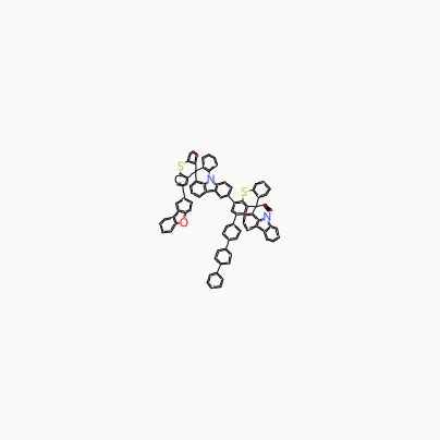 c1ccc(-c2ccc(-c3ccc(-c4cc(-c5ccc6c(c5)c5cccc7c5n6-c5ccccc5C75c6ccccc6Sc6ccc(-c7ccc8oc9ccccc9c8c7)cc65)c5c(c4)C4(c6ccccc6S5)c5ccccc5-n5c6ccccc6c6cccc4c65)cc3)cc2)cc1